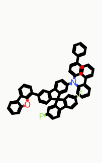 Fc1ccc2c(c1)C1(c3ccc(-c4cccc5c4oc4ccccc45)cc3-c3ccc(N(c4ccc(-c5ccccc5)cc4)c4ccccc4-c4ccccc4)cc31)c1cc(F)ccc1-2